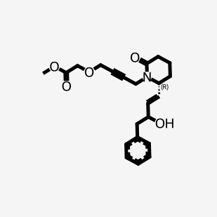 COC(=O)COCC#CCN1C(=O)CCC[C@@H]1C=CC(O)Cc1ccccc1